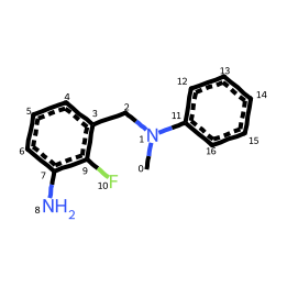 CN(Cc1cccc(N)c1F)c1ccccc1